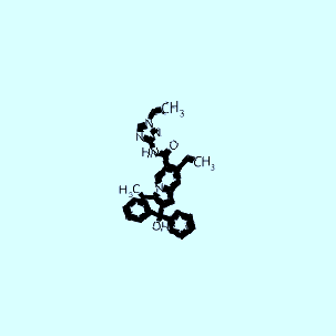 CCc1cc2cc(C(O)(c3ccccc3)c3ccccc3)c(CC)n2cc1C(=O)Nc1ncn(CC)n1